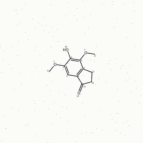 COc1cc2c(c(OC)c1O)CCC2=O